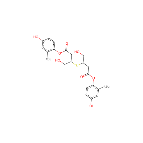 CC(C)(C)c1cc(O)ccc1OC(=O)CC(CO)SC(CO)CC(=O)Oc1ccc(O)cc1C(C)(C)C